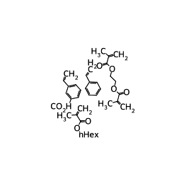 C=C(C)C(=O)OCCCCCC.C=C(C)C(=O)OCCOC(=O)C(=C)C.C=Cc1cccc(C(=O)O)c1.C=Cc1ccccc1